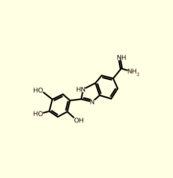 N=C(N)c1ccc2nc(-c3cc(O)c(O)cc3O)[nH]c2c1